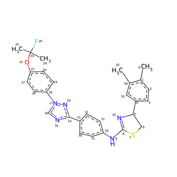 Cc1ccc(C2CSC(Nc3ccc(-c4ncn(-c5ccc(OC(C)(C)F)cc5)n4)cc3)=N2)cc1C